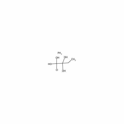 CCC(O)(O)C(O)(O)Cl.P